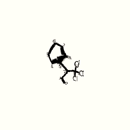 CCC(c1ccccc1)C(Cl)(Cl)Cl